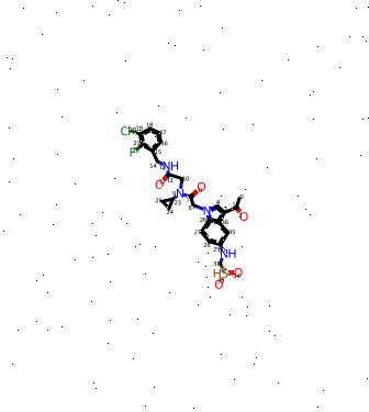 CC(=O)c1cn(CC(=O)N(CC(=O)NCc2cccc(Cl)c2F)C2CC2)c2ccc(NC[SH](=O)=O)cc12